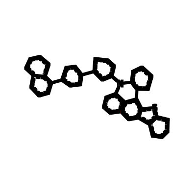 c1ccc(N(c2cccc(-c3ccc(-c4cccc5ccccc45)cc3)c2)c2ccccc2-c2cccc3c2sc2ccccc23)cc1